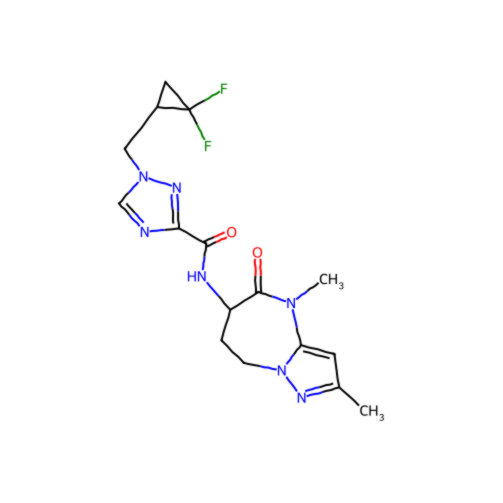 Cc1cc2n(n1)CCC(NC(=O)c1ncn(CC3CC3(F)F)n1)C(=O)N2C